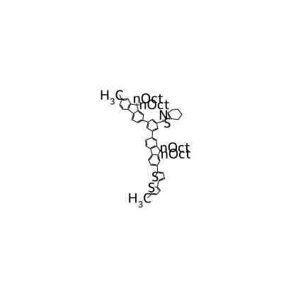 CCCCCCCCC1(CCCCCCCC)c2cc(C)ccc2-c2ccc(-c3cc(-c4ccc5c(c4)C(CCCCCCCC)(CCCCCCCC)c4cc(-c6ccc(-c7ccc(C)s7)s6)ccc4-5)cc(-c4nc5c(s4)CCCC5)c3)cc21